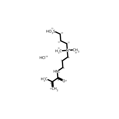 C=C(C)C(=O)NCCC[N+](C)(C)CCCS(=O)(=O)O.Cl